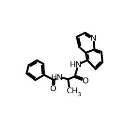 CC(NC(=O)c1ccccc1)C(=O)Nc1cccc2ncccc12